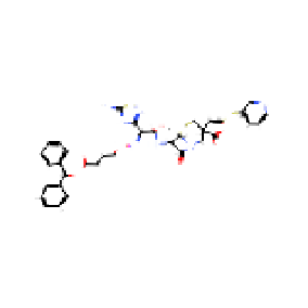 Nc1nc(C(=NOCCCC(=O)OC(c2ccccc2)c2ccccc2)C(=O)NC2C(=O)N3CC(C=CSc4cccnc4)(C(=O)O)CS[C@H]23)ns1